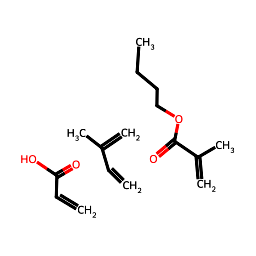 C=C(C)C(=O)OCCCC.C=CC(=C)C.C=CC(=O)O